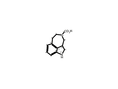 O=C(O)N1CCc2cccc3c2C(CN3)C1